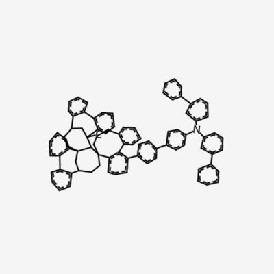 c1ccc(-c2cccc(N(c3ccc(-c4ccc(-c5cccc6c5-c5ccccc5C5CCC67CCC6CC8(CCC9CC(C5)(c5ccccc5-c5ccccc59)C87)c5ccccc5-c5ccccc56)cc4)cc3)c3cccc(-c4ccccc4)c3)c2)cc1